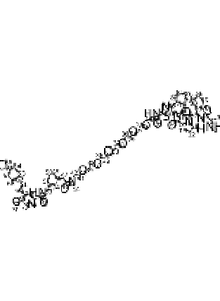 CNC(C)C(=O)NC(C(=O)N1CCCC1C(=O)Nc1sc(NC(=O)COCCOCCOCCOCCOCCOCCN(C)C(=O)Cc2cccc(CNC(=O)c3cc(C=Cc4ccc(Cl)cc4)c(OC)cn3)c2)nc1-c1ccccc1)C1CCCCC1